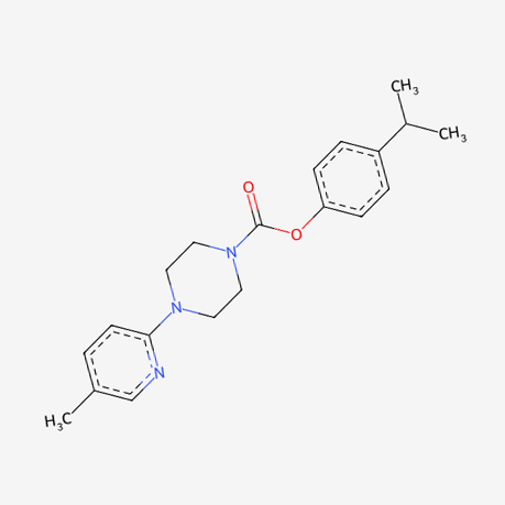 Cc1ccc(N2CCN(C(=O)Oc3ccc(C(C)C)cc3)CC2)nc1